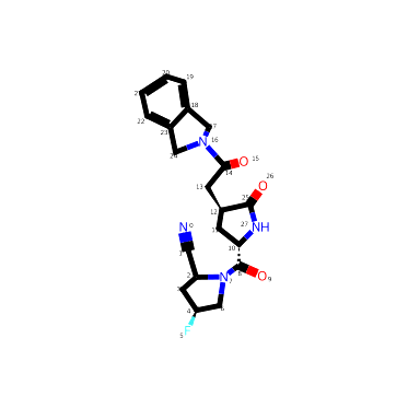 N#CC1C[C@H](F)CN1C(=O)[C@@H]1C[C@@H](CC(=O)N2Cc3ccccc3C2)C(=O)N1